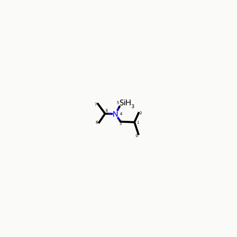 CC(C)CN([SiH3])C(C)C